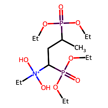 CCOP(=O)(OCC)C(C)CC([N+](O)(O)CC)P(=O)(OCC)OCC